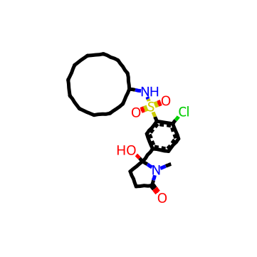 CN1C(=O)CCC1(O)c1ccc(Cl)c(S(=O)(=O)NC2CCCCCCCCCCC2)c1